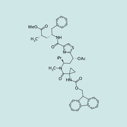 COC(=O)[C@@H](C)C[C@H](Cc1ccccc1)NC(=O)c1csc([C@@H](C[C@H](C(C)C)N(C)C(=O)C2(NC(=O)OCC3c4ccccc4-c4ccccc43)CC2)OC(C)=O)n1